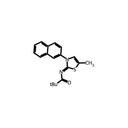 Cc1cn(-c2ccc3ccccc3c2)/c(=N/C(=O)C(C)(C)C)s1